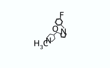 CN1CCC(C2Oc3ccc(F)cc3Cn3cccc32)CC1